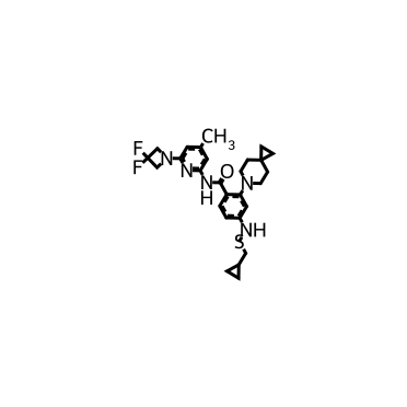 Cc1cc(NC(=O)c2ccc(NSCC3CC3)cc2N2CCC3(CC2)CC3)nc(N2CC(F)(F)C2)c1